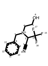 N#CC(N(CCO)Cc1ccccc1)C(F)(F)F